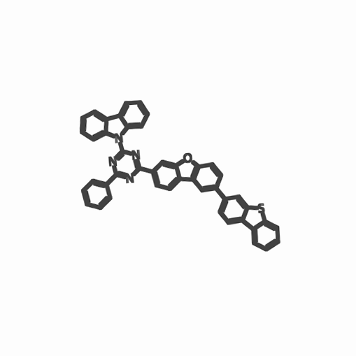 c1ccc(-c2nc(-c3ccc4c(c3)oc3ccc(-c5ccc6c(c5)sc5ccccc56)cc34)nc(-n3c4ccccc4c4ccccc43)n2)cc1